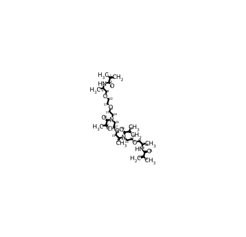 C=C(C)C(=O)NC(C)COCCOCCN(CCOCC(C)N(CCOCC(C)NC(=O)C(=C)C)C(=O)C(=C)C)C(=O)C(=C)C